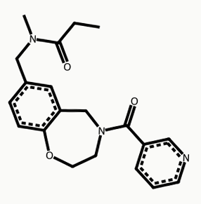 CCC(=O)N(C)Cc1ccc2c(c1)CN(C(=O)c1cccnc1)CCO2